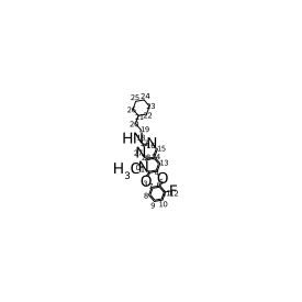 Cn1c(=O)c(Oc2ccccc2F)cc2cnc(NCCC3CCCCC3)nc21